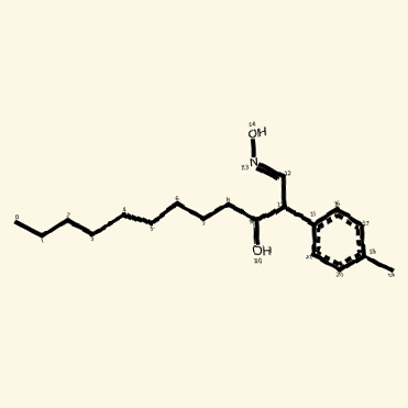 CCCCCCCCCC(O)C(C=NO)c1ccc(C)cc1